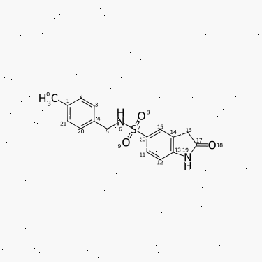 Cc1ccc(CNS(=O)(=O)c2ccc3c(c2)CC(=O)N3)cc1